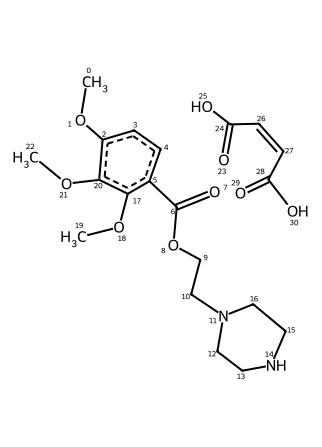 COc1ccc(C(=O)OCCN2CCNCC2)c(OC)c1OC.O=C(O)/C=C\C(=O)O